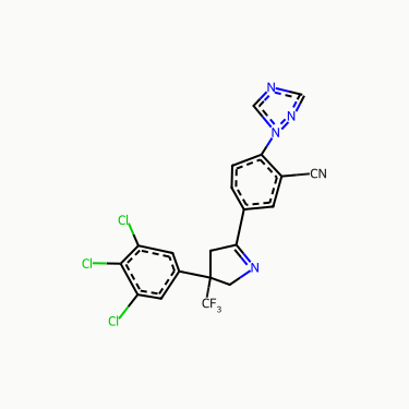 N#Cc1cc(C2=NCC(c3cc(Cl)c(Cl)c(Cl)c3)(C(F)(F)F)C2)ccc1-n1cncn1